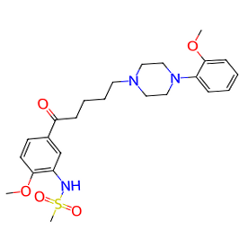 COc1ccc(C(=O)CCCCN2CCN(c3ccccc3OC)CC2)cc1NS(C)(=O)=O